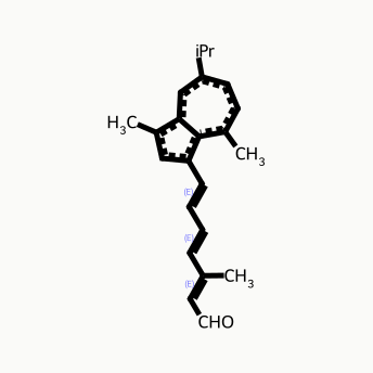 CC(/C=C/C=C/c1cc(C)c2cc(C(C)C)ccc(C)c1-2)=C\C=O